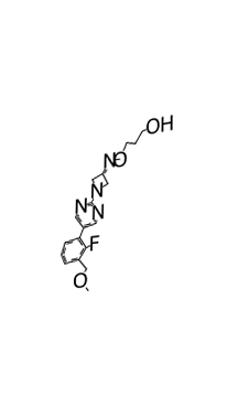 COCc1cccc(-c2cnc(N3CC(=NOCCCO)C3)nc2)c1F